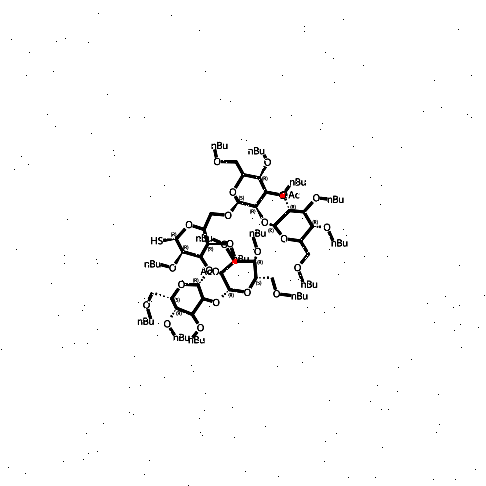 CCCCOCC1O[C@H](O[C@@H]2C(OCCCC)[C@H](OCCCC)C(COCCCC)O[C@@H]2OCC2O[C@H](S)[C@H](OCCCC)C(O[C@H]3O[C@@H](COCCCC)[C@@H](OCCCC)C(OCCCC)C3O[C@H]3O[C@@H](COCCCC)[C@@H](OCCCC)C(OCCCC)C3OC(C)=O)[C@@H]2OCCCC)[C@H](OC(C)=O)C(OCCCC)[C@@H]1OCCCC